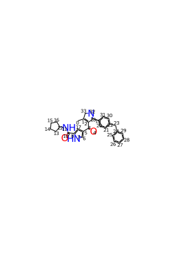 CC1=C(C(=O)c2c[nH]c(C(=O)NC3CCCC3)c2)C(c2ccc(Cc3ccccc3)cc2)=NC1